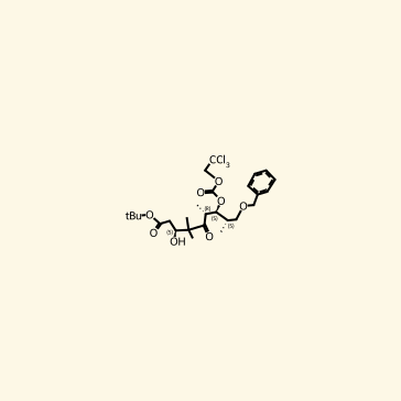 C[C@@H](COCc1ccccc1)[C@H](OC(=O)OCC(Cl)(Cl)Cl)[C@@H](C)C(=O)C(C)(C)[C@@H](O)CC(=O)OC(C)(C)C